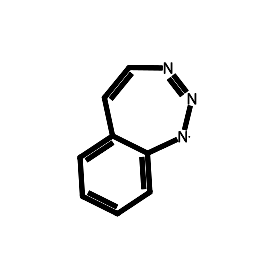 C1=Cc2ccccc2[N]N=N1